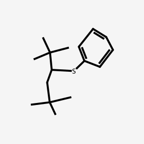 CC(C)(C)CC(Sc1ccccc1)C(C)(C)C